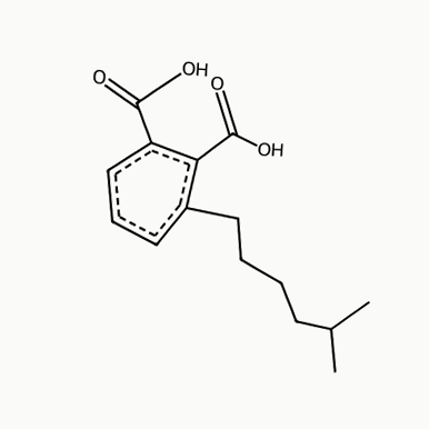 CC(C)CCCCc1cccc(C(=O)O)c1C(=O)O